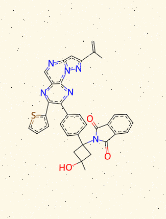 C=C(C)c1cc2ncc3nc(-c4cccs4)c(-c4ccc(C5(N6C(=O)c7ccccc7C6=O)CC(C)(O)C5)cc4)nc3n2n1